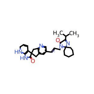 CC(C)C1=NC2(CCCCCC2)N(C/C=C/c2cnc3c(c2)CC2(C3)C(=O)NC3=C2C=CCN3)C1=O